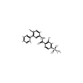 CS(=O)(=O)c1ccc(C(=O)Nc2ccc(I)c(-c3ccccn3)c2)c(I)c1